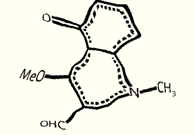 COc1c(C=O)cn(C)c2cccc(=O)c1-2